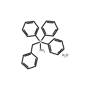 O.PP(Cc1ccccc1)(c1ccccc1)(c1ccccc1)c1ccccc1